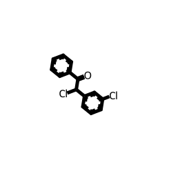 O=C(c1ccccc1)C(Cl)c1cccc(Cl)c1